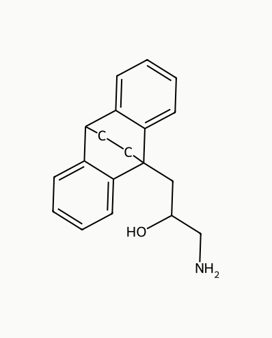 NCC(O)CC12CCC(c3ccccc31)c1ccccc12